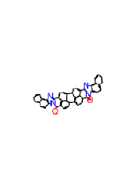 O=c1c2ccc3c4ccc5c(=O)n6c7ccc8ccccc8c7nc6c6ccc(c7ccc(c2c37)c2nc3c7ccccc7ccc3n12)c4c56